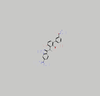 CNC(=O)c1cccc(-c2ccc(OC)c(C(C)c3c[nH]c4cc(C(=N)N)ccc34)c2C(=O)O)c1